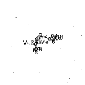 COc1cc(-c2cn(C)c(=O)c3cnccc23)cc(OC)c1CN1CCN(C(=O)CCC#Cc2ccc3c(c2)C(=O)N(C2CCC(=O)NC2=O)C3=O)CC1